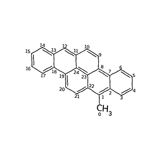 Cc1c2ccccc2c2ccc3cc4ccccc4c4ccc1c2c34